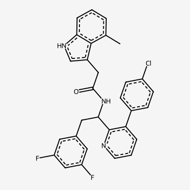 Cc1cccc2[nH]cc(CC(=O)NC(Cc3cc(F)cc(F)c3)c3ncccc3-c3ccc(Cl)cc3)c12